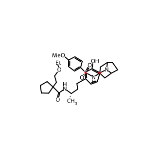 CCOCCC1(C(=O)N[C@@H](C)CCc2ccc(N3C4CCC3CC(NS(=O)(=O)c3ccc(OC)cc3)C4)c(O)c2)CCCC1